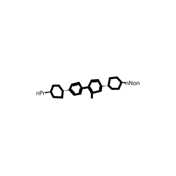 CCCCCCCCC[C@H]1CC[C@H](c2ccc(-c3ccc([C@H]4CC[C@H](CCC)CC4)cc3)c(C)c2)CC1